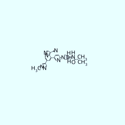 CC(C)C(=O)N[C@H]1[C@@H]2CN(c3ccc(-c4cc(-c5cnn(C)c5)cn5ncc(C#N)c45)cn3)C[C@@H]21